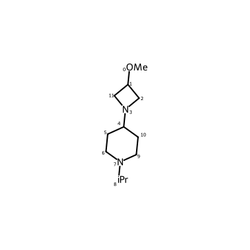 COC1CN(C2CCN(C(C)C)CC2)C1